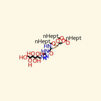 CCCCCCCC(=O)N[C@H](CSC[C@@H](COC(=O)CCCCCCC)OC(=O)CCCCCCC)C(=O)Nc1cn(C[C@H](O)[C@H](O)[C@H](O)[C@H](O)CO)nn1